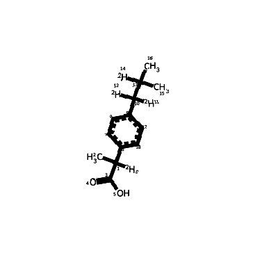 [2H]C(C)(C(=O)O)c1ccc(C([2H])([2H])C([2H])(C)C)cc1